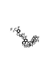 CC(C)(C)OC(=O)NS(=O)(=O)NCC(O[Si](C)(C)C(C)(C)C)c1cc(F)c(CNC2CC(Oc3ccc(F)c(C(F)(F)F)c3)C2)c2ccncc12